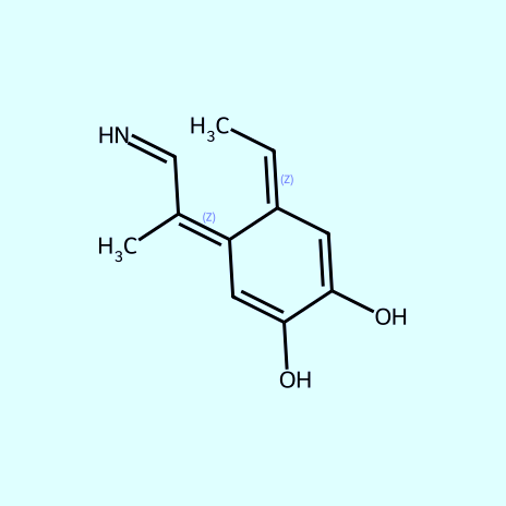 C/C=c1/cc(O)c(O)c/c1=C(\C)C=N